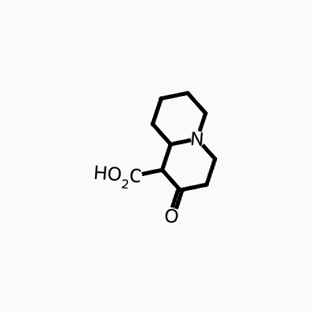 O=C(O)C1C(=O)CCN2CCCCC12